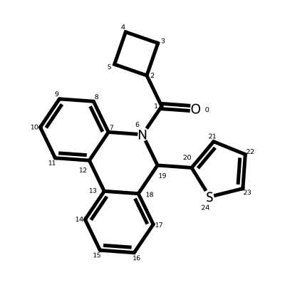 O=C(C1CCC1)N1c2ccccc2-c2ccccc2C1c1cccs1